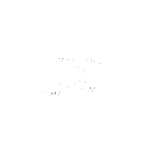 CCCCSc1cc(OC)c(CCNO)cc1OC